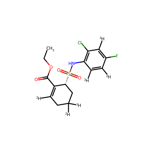 [2H]C1=C(C(=O)OCC)[C@H](S(=O)(=O)Nc2c([2H])c([2H])c(F)c([2H])c2Cl)CC([2H])([2H])C1